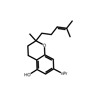 CCCc1cc(O)c2c(c1)OC(C)(CCC=C(C)C)CC2